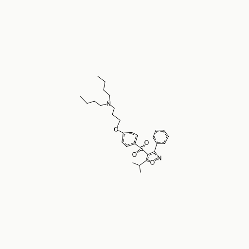 CCCCN(CCCC)CCCOc1ccc(S(=O)(=O)c2c(-c3ccccc3)noc2C(C)C)cc1